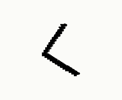 [Al+3].[Al+3].[Al+3].[Al+3].[Al+3].[N-3].[N-3].[N-3].[N-3].[N-3].[N-3].[N-3].[O-2].[O-2].[O-2].[O-2].[O-2].[O-2].[O-2].[Ti+4].[Ti+4].[Ti+4].[Ti+4].[Ti+4]